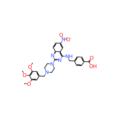 COc1cc(CN2CCN(c3nc(NCc4ccc(C(=O)O)cc4)c4cc([N+](=O)[O-])ccc4n3)CC2)cc(OC)c1OC